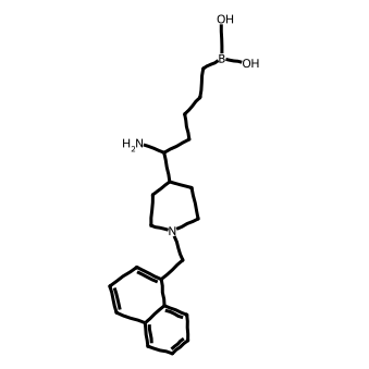 NC(CCCCB(O)O)C1CCN(Cc2cccc3ccccc23)CC1